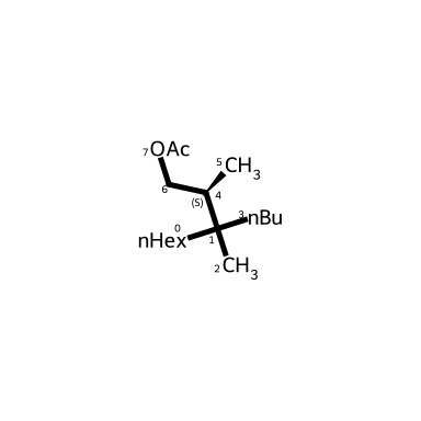 CCCCCCC(C)(CCCC)[C@H](C)COC(C)=O